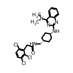 CN(C)c1nc(N[C@H]2CC[C@@H](CNC(=O)Cc3c(Cl)ccc(Cl)c3Cl)CC2)nc2ccccc12